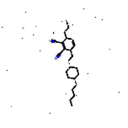 CCCCC[C@H]1CC[C@H](CCC2C=CC(CCC)C(C#N)=C2C#N)CC1